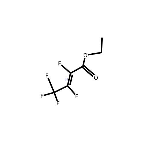 CCOC(=O)/C(F)=C(\F)C(F)(F)F